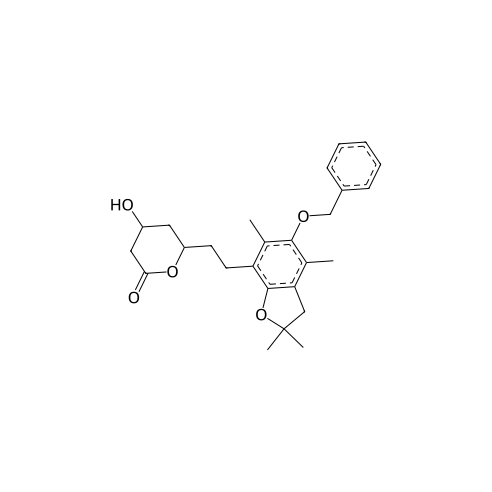 Cc1c(CCC2CC(O)CC(=O)O2)c2c(c(C)c1OCc1ccccc1)CC(C)(C)O2